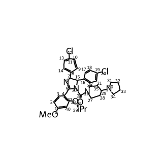 COc1ccc(C2=NC(c3ccc(Cl)cc3)C(c3ccc(Cl)cc3)N2C(=O)N2CCC(N3CCCC3)CC2)c(OC(C)C)c1